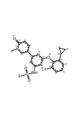 CCS(=O)(=O)Nc1cc(-c2ccc(=O)n(C)c2)nc(Oc2c(F)cccc2C2CC2)n1